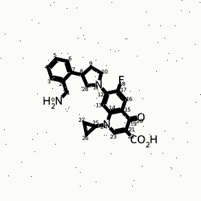 NCc1ccccc1C1CCN(c2cc3c(cc2F)c(=O)c(C(=O)O)cn3C2CC2)C1